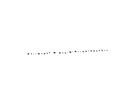 S=S=S=S=S=S=S=S=S=S=S=S=S=S=S=S=S=S=S=S=S=S=S=S=S=S=S=S=S=S=S=S=S